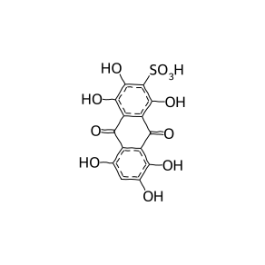 O=C1c2c(O)cc(O)c(O)c2C(=O)c2c(O)c(S(=O)(=O)O)c(O)c(O)c21